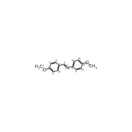 COc1ccc(/C=N/c2ccc(OC)cc2)cc1